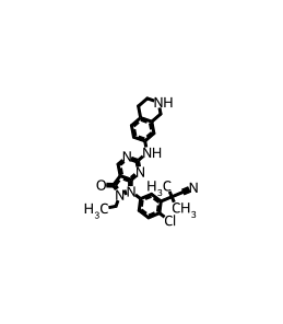 CCn1c(=O)c2cnc(Nc3ccc4c(c3)CNCC4)nc2n1-c1ccc(Cl)c(C(C)(C)C#N)c1